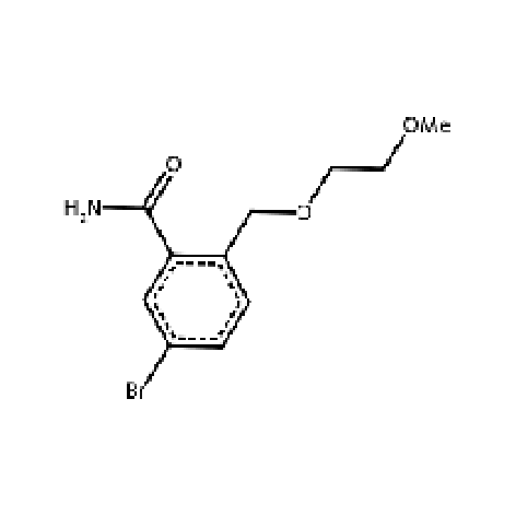 COCCOCc1ccc(Br)cc1C(N)=O